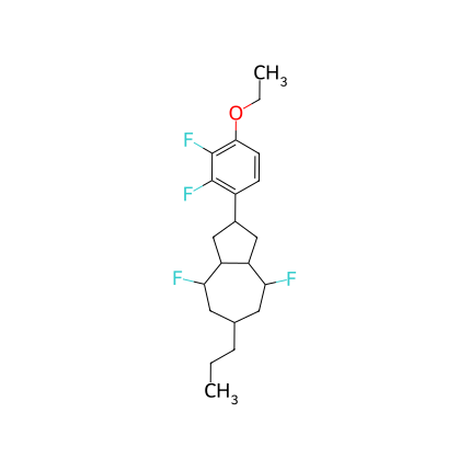 CCCC1CC(F)C2CC(c3ccc(OCC)c(F)c3F)CC2C(F)C1